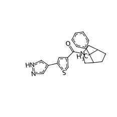 CC1(c2ccccc2)C2CCC1CN(C(=O)c1csc(-c3cn[nH]c3)c1)C2